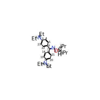 CCN(CC)c1ccc(C(=NO[SiH](C(C)C)C(C)C)c2ccc(N(CC)CC)cc2)cc1